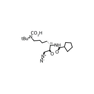 CC(C)(C)N(CCCC[C@H](NC(=O)C1CCCC1)C(=O)C=[N+]=[N-])C(=O)O